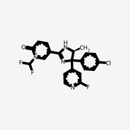 C[C@@H]1NC(c2ccc(=O)n(C(F)F)c2)=NC1(c1ccc(Cl)cc1)c1ccnc(F)c1